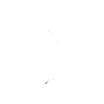 C[C@H](O)CNc1ccc(Br)cn1